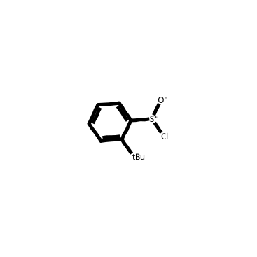 CC(C)(C)c1ccccc1[S+]([O-])Cl